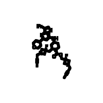 CC#CCN1CC(F)(COC(=O)N2CCC(Nc3cc(C4=CCOCC4)nc4c(C(C)C)cnn34)CC2CC2(F)CN(CC#CC)C2)C1